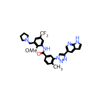 COc1c(CN2CCCC2)cc(C(F)(F)F)cc1NC(=O)c1ccc(C)c(-n2cc(-c3cnc4[nH]ccc4c3)nn2)c1